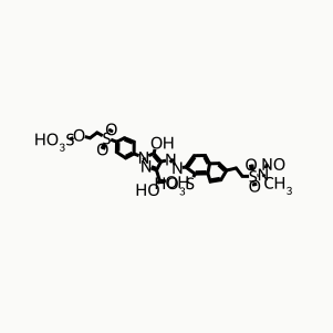 CN(N=O)S(=O)(=O)CCc1ccc2c(S(=O)(=O)O)c(N=Nc3c(C(O)O)nn(-c4ccc(S(=O)(=O)CCOS(=O)(=O)O)cc4)c3O)ccc2c1